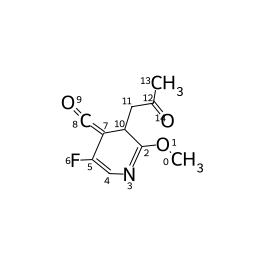 COC1=NC=C(F)C(=C=O)C1CC(C)=O